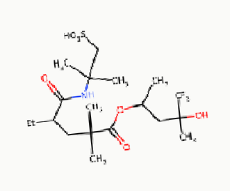 CCC(CC(C)(C)C(=O)OC(C)CC(C)(O)C(F)(F)F)C(=O)NC(C)(C)CS(=O)(=O)O